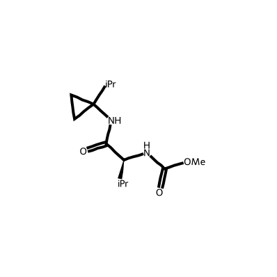 COC(=O)N[C@H](C(=O)NC1(C(C)C)CC1)C(C)C